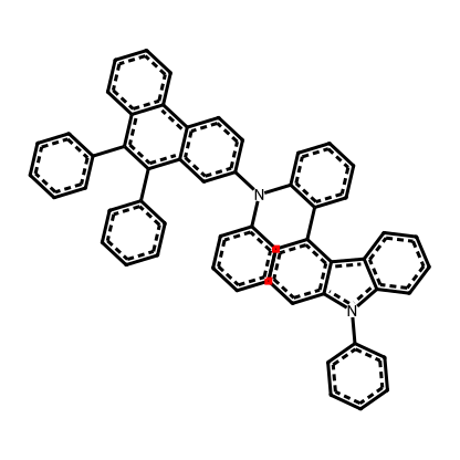 c1ccc(-c2c(-c3ccccc3)c3cc(N(c4ccccc4)c4ccccc4-c4cccc5c4c4ccccc4n5-c4ccccc4)ccc3c3ccccc23)cc1